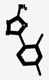 Cc1ccc(-c2nnc(N)s2)c(C)c1